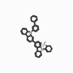 CC1CCCC=C1N1c2ccc(C3=CC4C(C=C3)C3C=CC=CC3N4c3cccc(C4=CC=CCC4)c3)cc2C2C=CC=CC21